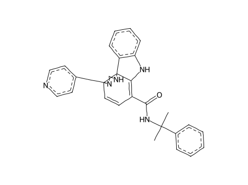 CC(C)(NC(=O)C1=C2Nc3ccccc3C23NCN(c2ccncc2)C3C=C1)c1ccccc1